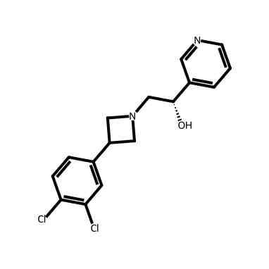 O[C@H](CN1CC(c2ccc(Cl)c(Cl)c2)C1)c1cccnc1